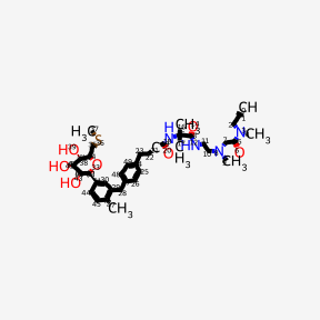 C#CCN(C)C(=O)CN(C)CCNC(=O)C(C)(C)NC(=O)CCCc1ccc(Cc2cc([C@@H]3OC(C#SC)[C@@H](O)[C@H](O)[C@H]3O)ccc2C)cc1